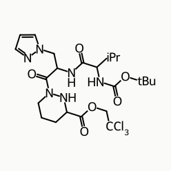 CC(C)C(NC(=O)OC(C)(C)C)C(=O)NC(Cn1cccn1)C(=O)N1CCCC(C(=O)OCC(Cl)(Cl)Cl)N1